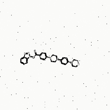 O=C(On1nnc2ccccc21)c1ccc(N2CCN(c3ccc(N4CCOCC4)cc3)CC2)cc1